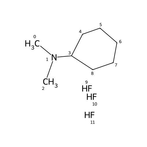 CN(C)C1CCCCC1.F.F.F